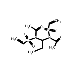 C=CS(=O)(=O)N(C(C)=O)C(CC)N(C(C)=O)S(=O)(=O)C=C